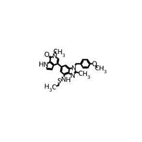 CCSNc1cc(-c2cn(C)c(=O)c3[nH]ccc23)cc2c1nc(C)n2Cc1ccc(OC)cc1